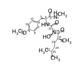 CNC(=O)[C@H](Cc1ccc(OC)cc1)NC(=O)N(O)C(=O)[C@@H](C)CCC(C)C